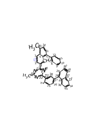 C=C(/C=C\c1cc(-c2ccccc2)ccc1C)c1nc(C)nc(-c2cccc(-c3cccc4ccccc34)c2)n1